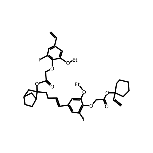 C=Cc1cc(I)c(OCC(=O)OC2(CC/C=C/c3cc(I)c(OCC(=O)OC4(C=C)CCCCC4)c(OCC)c3)CC3CCC2C3)c(OCC)c1